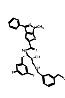 CCc1cccc(CNC[C@@H](O)[C@H](Cc2cc(F)cc(F)c2)NC(=O)c2cc3c(-c4ccccc4)nn(C)c3s2)c1